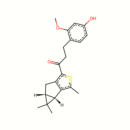 COc1cc(O)ccc1CCC(=O)c1sc(C)c2c1C[C@@H]1[C@H]2C1(C)C